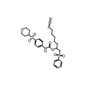 [N-]=[N+]=NCCCCCC(CS(=O)(=O)c1ccccc1)OC(=O)Nc1ccc(S(=O)(=O)N2CCOCC2)cc1